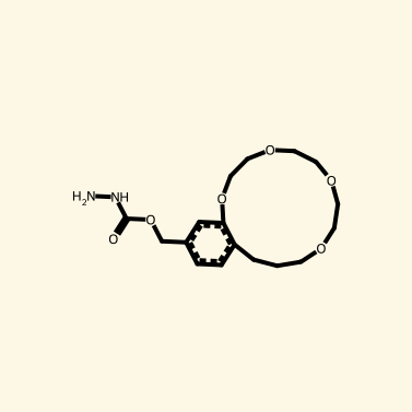 NNC(=O)OCc1ccc2c(c1)OCCOCCOCCOCCC2